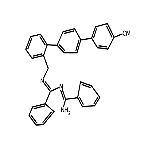 N#Cc1ccc(-c2ccc(-c3ccccc3C/N=C(\N=C(/N)c3ccccc3)c3ccccc3)cc2)cc1